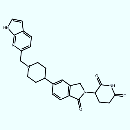 O=C1CCC(N2Cc3cc(C4CCN(Cc5ccc6cc[nH]c6n5)CC4)ccc3C2=O)C(=O)N1